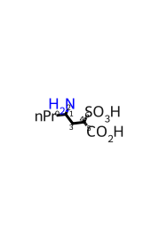 CCCC(N)CC(C(=O)O)S(=O)(=O)O